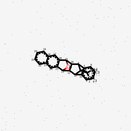 CC(C)=C1C2c3ccccc3C1C1C3OC(c4cc5ccccc5cc43)C21